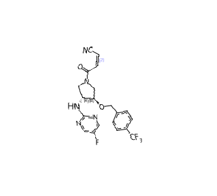 N#C/C=C\C(=O)N1C[C@@H](Nc2ncc(F)cn2)[C@H](OCc2ccc(C(F)(F)F)cc2)C1